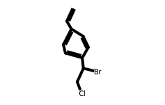 C=Cc1ccc(C(Br)CCl)cc1